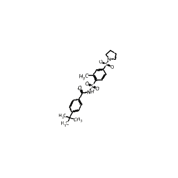 Cc1cc(S(=O)(=O)N2CCCC2)ccc1S(=O)(=O)NC(=O)c1ccc(C(C)(C)C)cc1